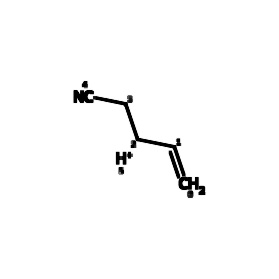 C=CCCC#N.[H+]